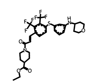 CCOC(=O)C1CCN(C(=O)C=Cc2ccc(Sc3cccc(NC4CCOCC4)c3)c(C(F)(F)F)c2C(F)(F)F)CC1